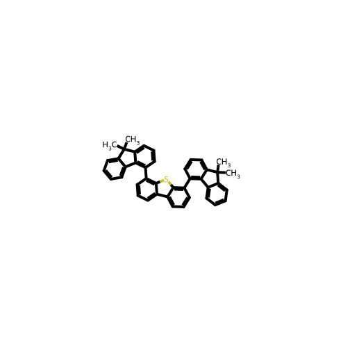 CC1(C)c2ccccc2-c2c(-c3cccc4c3sc3c(-c5cccc6c5-c5ccccc5C6(C)C)cccc34)cccc21